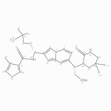 COC[C@H](c1cnn2cc([C@@H](CCC(C)(C)C(F)(F)F)NC(=O)c3nonc3C)nc2c1)N1CC(F)(F)CNC1=O